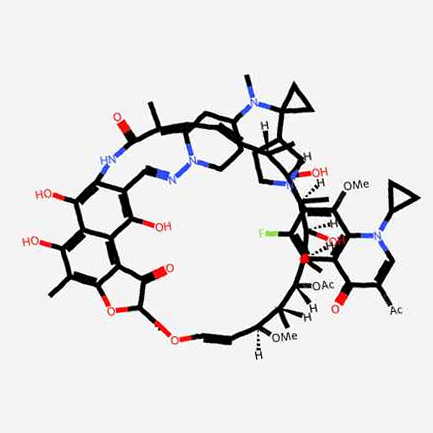 COc1c(N2CCC(C3(N(C)C4CCN(/N=C/c5c6c(O)c7c(O)c(C)c8c(c7c5O)C(=O)[C@@](C)(O/C=C/[C@H](OC)[C@@H](C)[C@@H](OC(C)=O)[C@H](C)[C@H](O)[C@H](C)[C@@H](O)[C@@H](C)/C=C/C=C(/C)C(=O)N6)O8)CC4)CC3)C2)c(F)cc2c(=O)c(C(C)=O)cn(C3CC3)c12